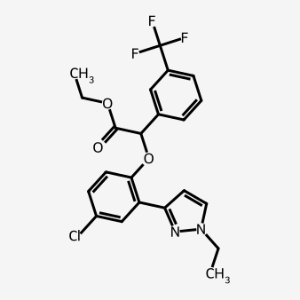 CCOC(=O)C(Oc1ccc(Cl)cc1-c1ccn(CC)n1)c1cccc(C(F)(F)F)c1